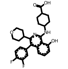 O=C(O)C1CCC(Nc2nc(C3CCOCC3)c(-c3ccc(F)c(F)c3)c3cccc(O)c23)CC1